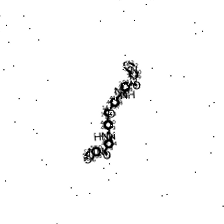 O=C(c1ccc2nc(-c3ccc(-c4ccc(-c5ccc(-c6nc7ccc(C(=O)N8CCN9CCOCC9C8)cc7[nH]6)cc5)o4)cc3)[nH]c2c1)N1CCN2CCOCC2C1